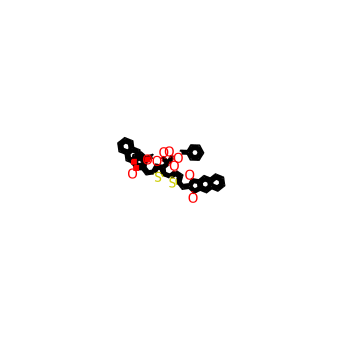 O=C1C(=Cc2cc3c(s2)-c2sc(C=C4C(=O)c5cc6ccccc6cc5C4=O)cc2C(C(=O)OCc2ccccc2)(C(=O)OCc2ccccc2)O3)C(=O)c2cc3ccccc3cc21